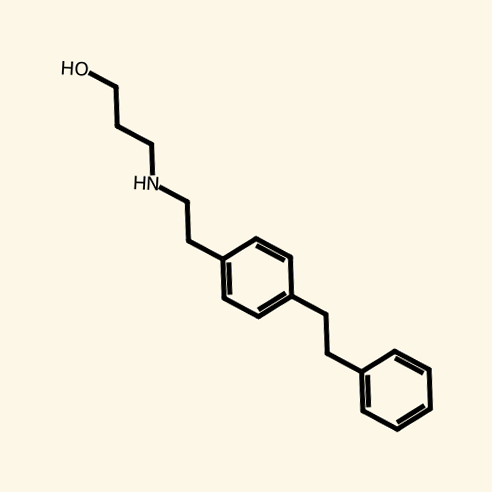 OCCCNCCc1ccc(CCc2ccccc2)cc1